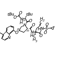 C=CC[C@@](C)(NC(=O)[C@@H]1C[C@@H](Oc2cccc3c(Cl)ccnc23)CN1C(=O)[C@@H](NC(=O)OC(C)(C)C)C(C)(C)C)C(=O)NS(=O)(=O)C1CC1